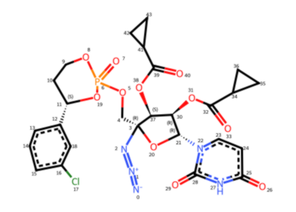 [N-]=[N+]=N[C@]1(COP2(=O)OCC[C@@H](c3cccc(Cl)c3)O2)O[C@@H](n2ccc(=O)[nH]c2=O)[C@H](OC(=O)C2CC2)[C@@H]1OC(=O)C1CC1